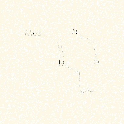 CSc1ncnc(SC)n1